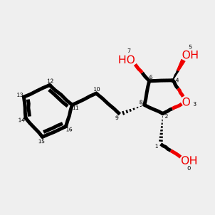 OC[C@H]1O[C@H](O)C(O)[C@H]1CCc1ccccc1